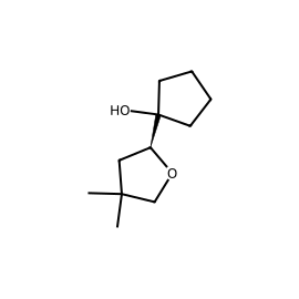 CC1(C)CO[C@H](C2(O)CCCC2)C1